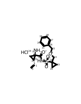 C=C[C@@H]1C[C@]1(N)C(=O)NS(=O)(=O)C1(COCc2ccccc2)CC1.Cl